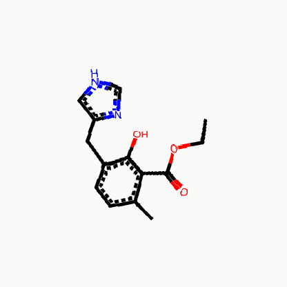 CCOC(=O)c1c(C)ccc(Cc2c[nH]cn2)c1O